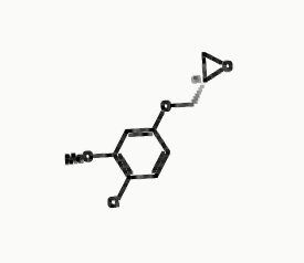 COc1cc(OC[C@@H]2CO2)ccc1Cl